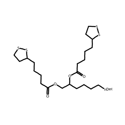 CCCCCCCCCCCCCCC(COC(=O)CCCCC1CCSS1)OC(=O)CCCCC1CCSS1